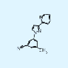 Cc1cc(C#N)cc(-n2ccc(-c3ccccn3)n2)c1